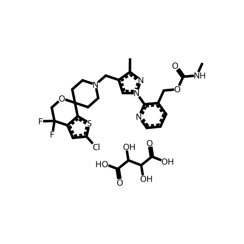 CNC(=O)OCc1cccnc1-n1cc(CN2CCC3(CC2)OCC(F)(F)c2cc(Cl)sc23)c(C)n1.O=C(O)C(O)C(O)C(=O)O